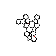 c1ccc(-n2c3ccccc3c3ccc4c5ccccc5n(-c5nc6c7ccccc7c7ccccc7c6nc5-c5ccc6oc7ccccc7c6c5)c4c32)cc1